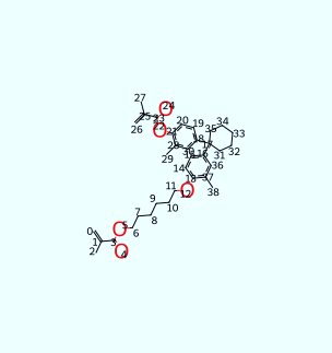 C=C(C)C(=O)OCCCCCCOc1ccc(C2(c3ccc(OC(=O)C(=C)C)c(C)c3)CCCCC2)cc1C